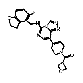 O=C(C1COC1)N1CC=C(c2cnc(NCc3c(F)ccc4c3CCO4)n3cnnc23)CC1